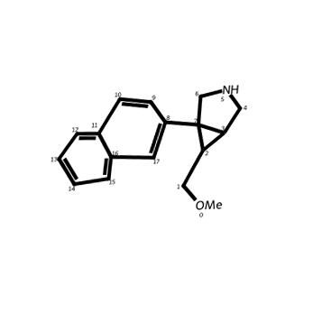 COCC1C2CNCC21c1ccc2ccccc2c1